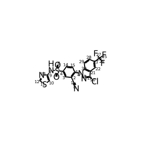 N#Cc1cc(S(=O)(=O)Nc2cscn2)ccc1-n1nc(Cl)c2cc(C(F)(F)F)ccc21